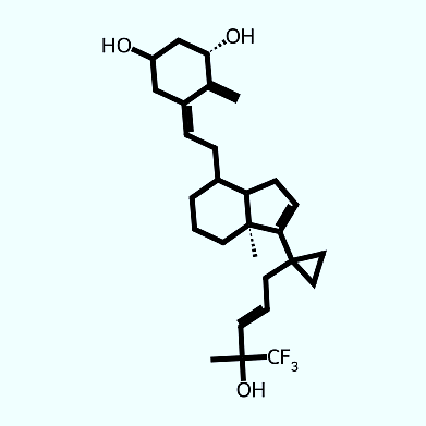 C=C1/C(=C\CC2CCC[C@]3(C)C(C4(C/C=C/C(C)(O)C(F)(F)F)CC4)=CCC23)CC(O)C[C@@H]1O